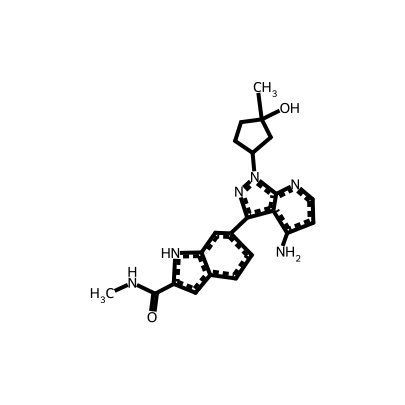 CNC(=O)c1cc2ccc(-c3nn(C4CCC(C)(O)C4)c4nccc(N)c34)cc2[nH]1